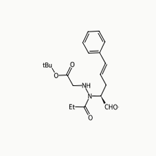 CCC(=O)N(NCC(=O)OC(C)(C)C)[C@H]([C]=O)CC=Cc1ccccc1